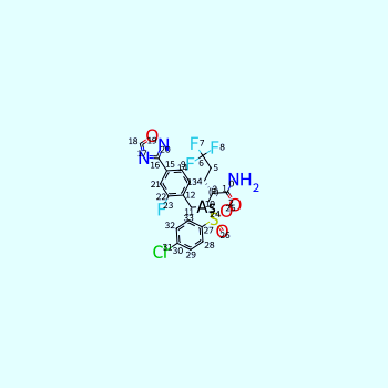 NC(=O)[C@@H](CCC(F)(F)F)[As](Cc1ccc(-c2ncon2)cc1F)S(=O)(=O)c1ccc(Cl)cc1